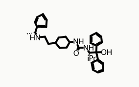 CC(C)[C@H](NC(=O)NC1CCC(CCN[C@H](C)c2ccccc2)CC1)C(O)(c1ccccc1)c1ccccc1